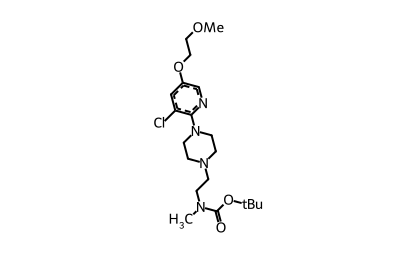 COCCOc1cnc(N2CCN(CCN(C)C(=O)OC(C)(C)C)CC2)c(Cl)c1